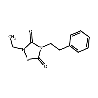 CCn1sc(=O)n(CCc2ccccc2)c1=O